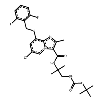 Cc1nc2c(OCc3c(F)cccc3F)cc(Cl)cn2c1C(=O)NC(C)(C)CNC(=O)OC(C)(C)C